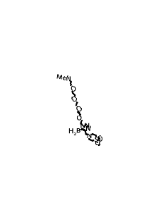 Bc1c(CN2CCS(=O)(=O)CC2)nnn1CCOCCOCCOCCOCCNC